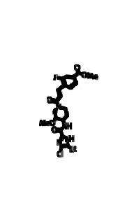 CCc1[nH]c(C(=O)NC2CCN(C(=O)C=Cc3ccc(C(=O)OC)cc3F)CC2OC)nc1Cl